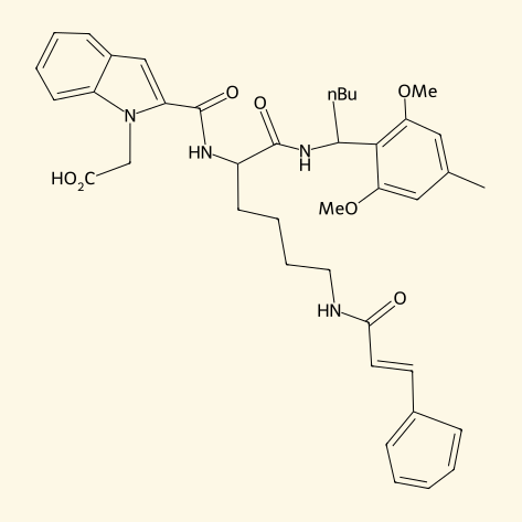 CCCCC(NC(=O)C(CCCCNC(=O)C=Cc1ccccc1)NC(=O)c1cc2ccccc2n1CC(=O)O)c1c(OC)cc(C)cc1OC